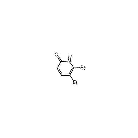 CCc1ccc(=O)[nH]c1CC